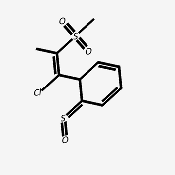 CC(=C(Cl)C1C=CC=CC1=S=O)S(C)(=O)=O